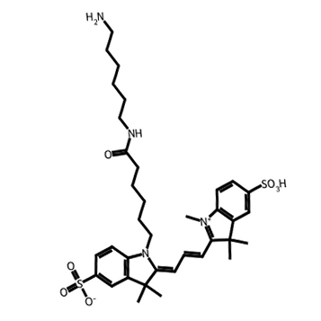 C[N+]1=C(C=CC=C2N(CCCCCC(=O)NCCCCCCN)c3ccc(S(=O)(=O)[O-])cc3C2(C)C)C(C)(C)c2cc(S(=O)(=O)O)ccc21